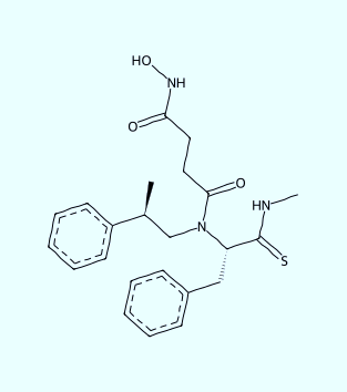 CNC(=S)[C@H](Cc1ccccc1)N(C[C@H](C)c1ccccc1)C(=O)CCC(=O)NO